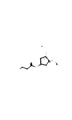 O=C(O)CCC(=O)NC1C[C@H](O[N+](=O)[O-])[C@H](O[N+](=O)[O-])C1